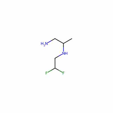 CC(CN)NCC(F)F